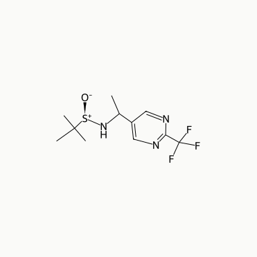 CC(N[S@+]([O-])C(C)(C)C)c1cnc(C(F)(F)F)nc1